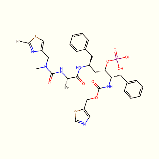 CC(C)c1nc(CN(C)C(=O)N[C@H](C(=O)N[C@@H](Cc2ccccc2)C[C@H](OP(=O)(O)O)[C@H](Cc2ccccc2)NC(=O)OCc2cncs2)C(C)C)cs1